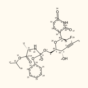 CC#C[C@H](O)[C@@H](COP(=O)(N[C@@H](C)C(=O)OC(C)C)Oc1ccccc1)O[C@H](CF)n1ccc(=O)[nH]c1=O